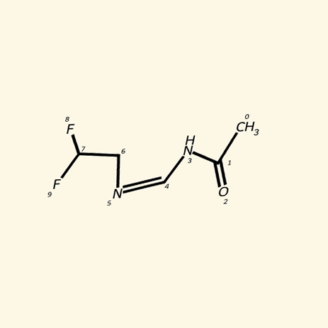 CC(=O)N/C=N\CC(F)F